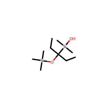 CCC(CC)(O[Si](C)(C)C)[Si](C)(C)O